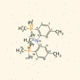 Cc1ccc([PH](C)(C(C)C)C(C)C)c(N(C)c2cc(C)ccc2[PH](C)(C(C)C)C(C)C)c1